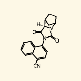 N#Cc1ccc(N2C(=O)[C@H]3C4CCC(C4)N3C2=O)c2ccccc12